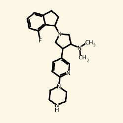 CN(C)C1CN(C2CCc3cccc(F)c32)CC1c1ccc(N2CCNCC2)nc1